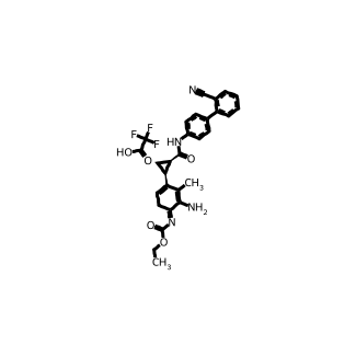 CCOC(=O)N=C1CC=C([C@H]2C[C@H]2C(=O)Nc2ccc(-c3ccccc3C#N)cc2)C(C)=C1N.O=C(O)C(F)(F)F